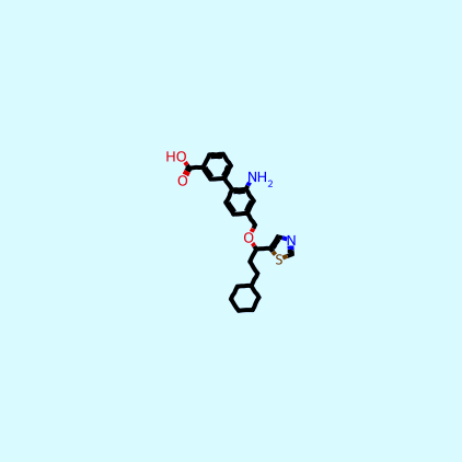 Nc1cc(COC(CCC2CCCCC2)c2cncs2)ccc1-c1cccc(C(=O)O)c1